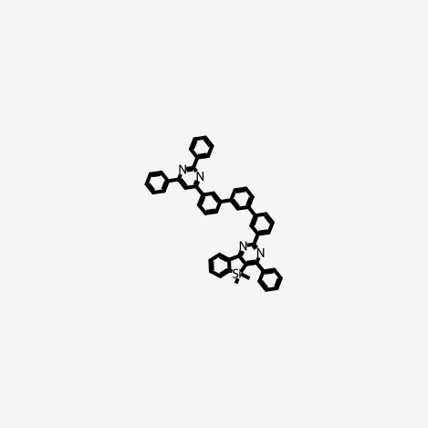 C[Si]1(C)c2ccccc2-c2nc(-c3cccc(-c4cccc(-c5cccc(-c6cc(-c7ccccc7)nc(-c7ccccc7)n6)c5)c4)c3)nc(-c3ccccc3)c21